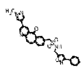 Cn1cc(-c2cnc3ccc4ccc(CS(=O)(=O)NCc5cc(-c6ccccc6)no5)cc4c(=O)c3c2)cn1